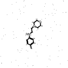 Cc1ccc(NCCN2CCOCC2)cc1